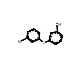 Oc1cccc(Oc2cccc(Cl)c2)c1